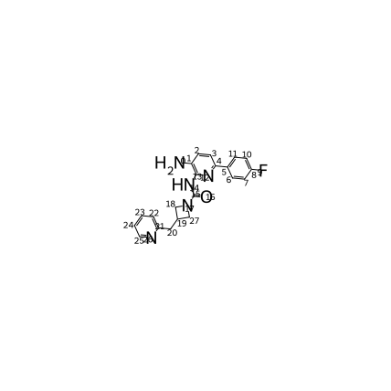 Nc1ccc(-c2ccc(F)cc2)nc1NC(=O)N1CC(Cc2ccccn2)C1